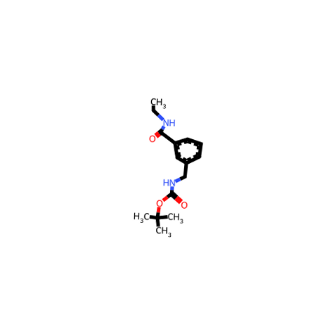 CCNC(=O)c1cccc(CNC(=O)OC(C)(C)C)c1